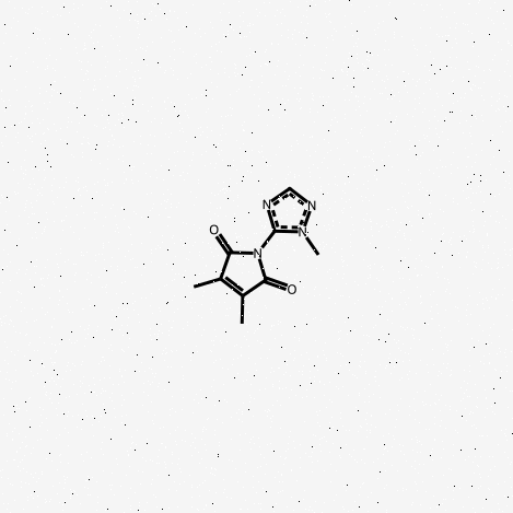 CC1=C(C)C(=O)N(c2ncnn2C)C1=O